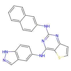 c1ccc2cc(Nc3nc(Nc4ccc5[nH]ncc5c4)c4sccc4n3)ccc2c1